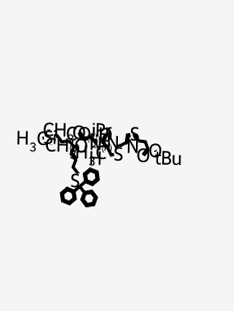 CC(C)[C@@H](NC(=O)[C@]1(C)CSC(c2csc(CC(=O)OC(C)(C)C)n2)=N1)C(=O)O[C@@H](C=CCCSC(c1ccccc1)(c1ccccc1)c1ccccc1)C(CC[Si](C)(C)C)C(=O)O